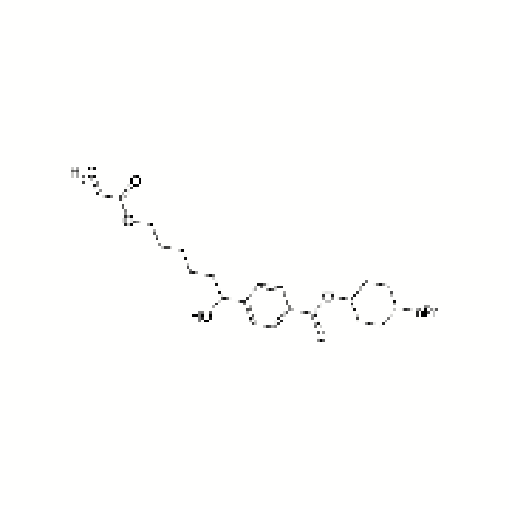 C=CC(=O)OCCCCCC(O)c1ccc(C(=O)OC2CCC(CCC)CC2)cc1